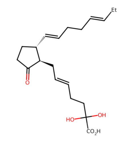 CCC=CCCC=C[C@H]1CCC(=O)[C@@H]1CC=CCCC(O)(O)C(=O)O